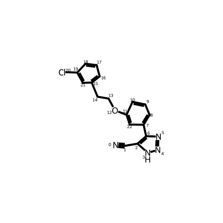 N#Cc1[nH]nnc1-c1cccc(OCCc2cccc(Cl)c2)c1